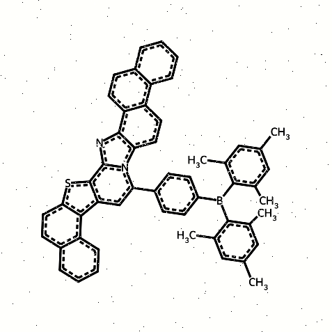 Cc1cc(C)c(B(c2ccc(-c3cc4c(sc5ccc6ccccc6c54)c4nc5c6ccc7ccccc7c6ccc5n34)cc2)c2c(C)cc(C)cc2C)c(C)c1